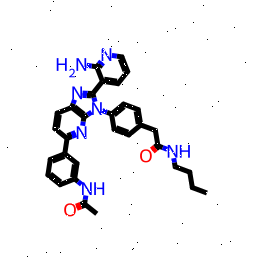 CCCCNC(=O)Cc1ccc(-n2c(-c3cccnc3N)nc3ccc(-c4cccc(NC(C)=O)c4)nc32)cc1